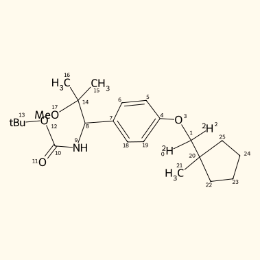 [2H]C([2H])(Oc1ccc(C(NC(=O)OC(C)(C)C)C(C)(C)OC)cc1)C1(C)CCCC1